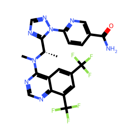 C[C@@H](c1ncnn1-c1ccc(C(N)=O)cn1)N(C)c1ncnc2c(C(F)(F)F)cc(C(F)(F)F)cc12